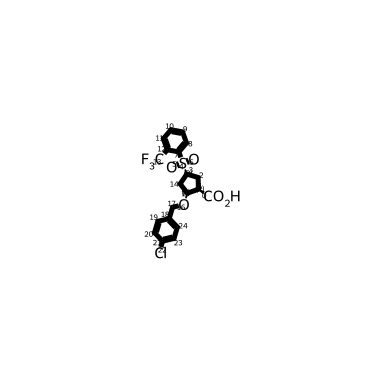 O=C(O)[C@@H]1C[C@@H](S(=O)(=O)c2ccccc2C(F)(F)F)C[C@H]1OCc1ccc(Cl)cc1